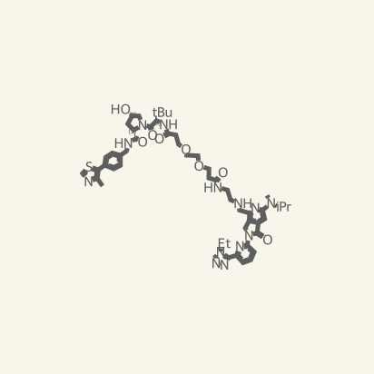 CCn1cnnc1-c1cccc(N2Cc3c(cc(N(C)C(C)C)nc3CNCCNC(=O)CCOCCOCCC(=O)N[C@H](C(=O)N3C[C@H](O)C[C@H]3C(=O)NCc3ccc(-c4scnc4C)cc3)C(C)(C)C)C2=O)n1